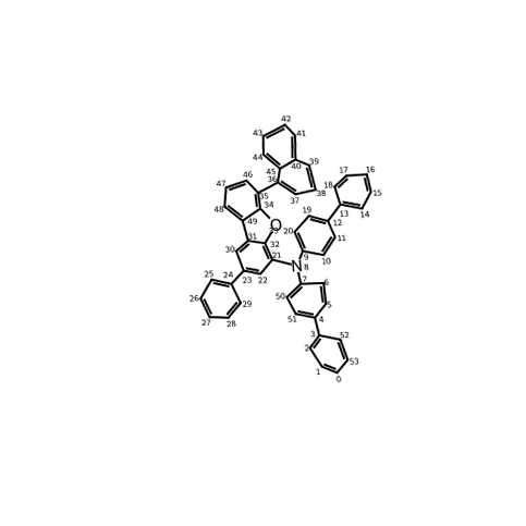 c1ccc(-c2ccc(N(c3ccc(-c4ccccc4)cc3)c3cc(-c4ccccc4)cc4c3oc3c(-c5cccc6ccccc56)cccc34)cc2)cc1